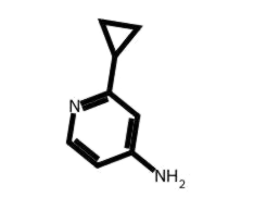 Nc1ccnc(C2CC2)c1